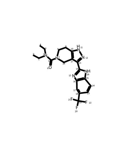 CCN(CC)C(=O)N1CCc2[nH]nc(-c3nc4cc(C(F)(F)F)ccc4[nH]3)c2C1